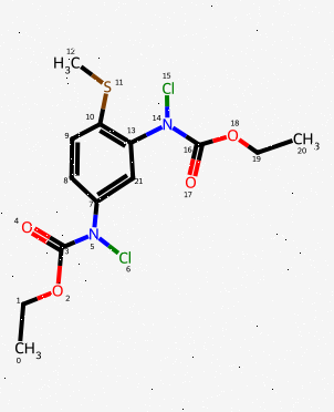 CCOC(=O)N(Cl)c1ccc(SC)c(N(Cl)C(=O)OCC)c1